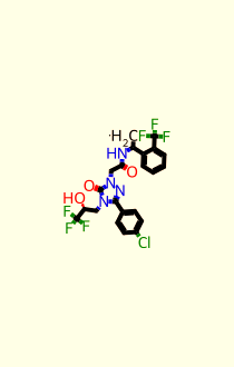 [CH2]C(NC(=O)Cn1nc(-c2ccc(Cl)cc2)n(C[C@H](O)C(F)(F)F)c1=O)c1ccccc1C(F)(F)F